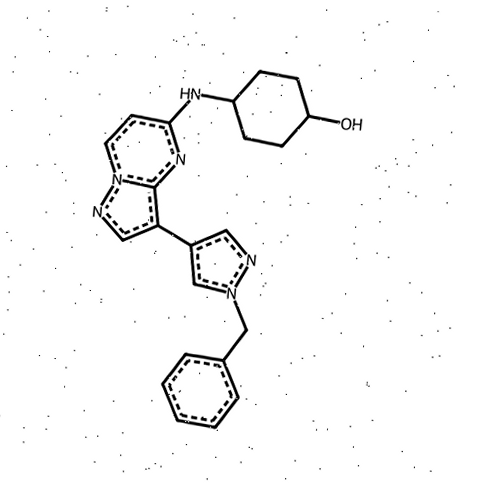 OC1CCC(Nc2ccn3ncc(-c4cnn(Cc5ccccc5)c4)c3n2)CC1